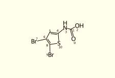 O=C(O)Nc1cc(Br)c(Br)s1